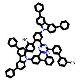 N#Cc1cccc(-c2cccc(-c3nc(-c4cc(-n5c6ccc(-c7ccccc7)cc6c6cc(-c7ccccc7)ccc65)ccc4-c4ccccc4C#N)nc(-c4cc(-n5c6ccc(-c7ccccc7)cc6c6cc(-c7ccccc7)ccc65)ccc4-c4ccccc4C#N)n3)c2)c1